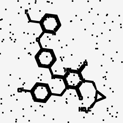 O=C(O)[C@@H]1C[C@H]1Cn1c(=O)[nH]/c(=N\c2ccc(Oc3ncccc3CF)cc2)n(Cc2ccc(Cl)cc2)c1=O